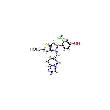 O=C(O)c1cc2c(cc(-c3ccc(O)cc3Cl)n2Cc2ccc3nccn3c2)s1